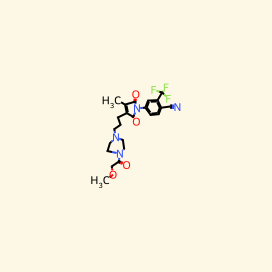 COCC(=O)N1CCN(CCCC2=C(C)C(=O)N(c3ccc(C#N)c(C(F)(F)F)c3)C2=O)CC1